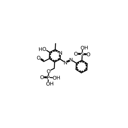 Cc1nc(N=Nc2ccccc2S(=O)(=O)O)c(COP(=O)(O)O)c(C=O)c1O